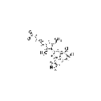 CCC1CC(COCCC(=O)O)C(C)N1c1cc(-n2ccnc2)c2ccc(Cl)c(Cl)c2n1